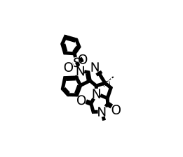 CN1CC(=O)N2C(C[C@](C)(C#N)C2c2cn(S(=O)(=O)c3ccccc3)c3ccccc23)C1=O